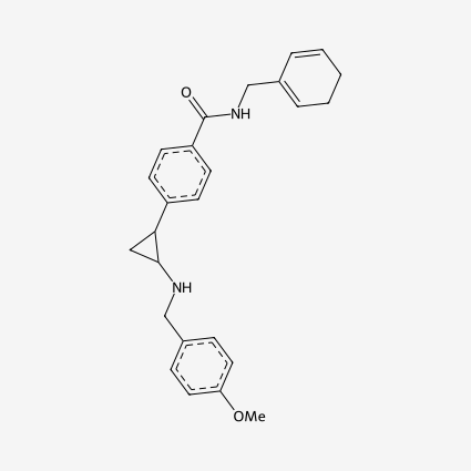 COc1ccc(CNC2CC2c2ccc(C(=O)NCC3=CCCC=C3)cc2)cc1